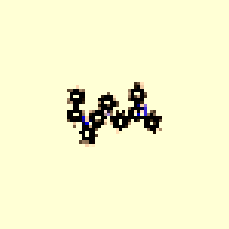 c1ccc(-c2cccc(-n3c4ccccc4c4cc5c(cc43)c3ccccc3n5-c3cccc(-c4cc(-c5ccccc5)nc(-c5ccccc5)c4)c3)c2)cc1